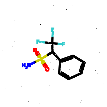 NS(=O)(=O)C(c1ccccc1)C(F)(F)F